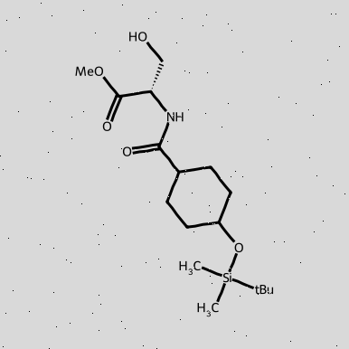 COC(=O)[C@H](CO)NC(=O)C1CCC(O[Si](C)(C)C(C)(C)C)CC1